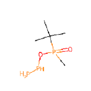 CC(C)(C)P(C)(=O)OPP